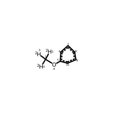 [2H]C([2H])([2H])Oc1ccccc1